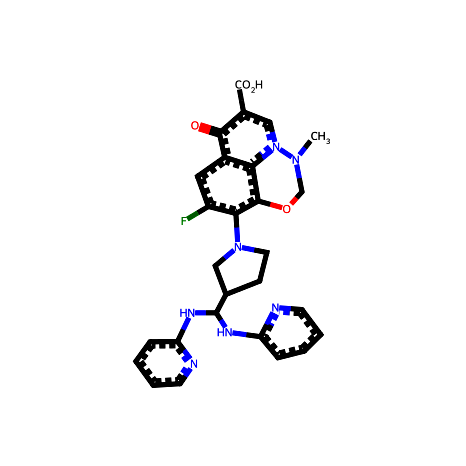 CN1COc2c(N3CCC(C(Nc4ccccn4)Nc4ccccn4)C3)c(F)cc3c(=O)c(C(=O)O)cn1c23